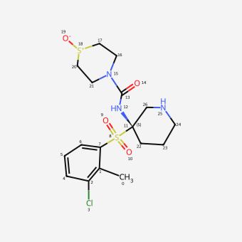 Cc1c(Cl)cccc1S(=O)(=O)[C@@]1(NC(=O)N2CC[S+]([O-])CC2)CCCNC1